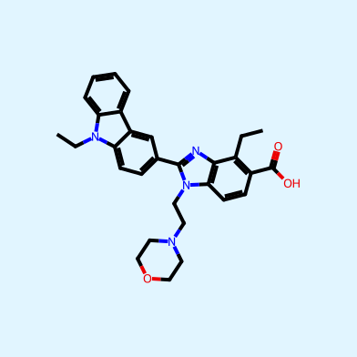 CCc1c(C(=O)O)ccc2c1nc(-c1ccc3c(c1)c1ccccc1n3CC)n2CCN1CCOCC1